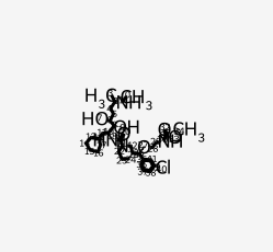 CNC(C)CC[C@H](O)[C@H](O)C(CC1CCCCC1)NC(=O)N1CCC[C@@H]([C@@H](OCCNC(=O)OC)c2cccc(Cl)c2)C1